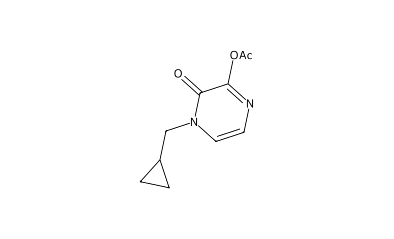 CC(=O)Oc1nccn(CC2CC2)c1=O